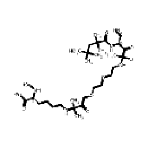 CCC(C)(NCCOCCOCC(=O)C(C)(C)NCCCC[C@H](NC(C)(C)C)C(=O)C(C)(C)C)C(=O)[C@H](CN)NC(=O)C(C)(C)CC(C)(C)C(=O)O